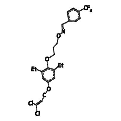 CCc1cc(OCC=C(Cl)Cl)cc(CC)c1OCCCON=Cc1ccc(C(F)(F)F)cc1